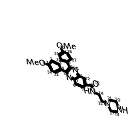 COc1ccc(-c2nc3ccc(C(=O)NCCN4CCNCC4)cc3nc2-c2ccc(OC)cc2)cc1